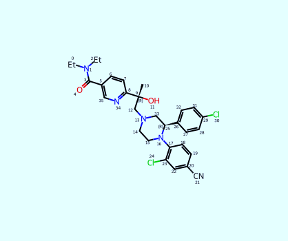 CCN(CC)C(=O)c1ccc([C@](C)(O)CN2CCN(c3ccc(C#N)cc3Cl)[C@H](c3ccc(Cl)cc3)C2)nc1